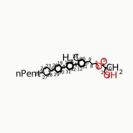 C=C(CO)C(=O)OCCCc1ccc(-c2ccc(-c3ccc(C4CCC(CCCCC)CC4)cc3)cc2)c(C)c1